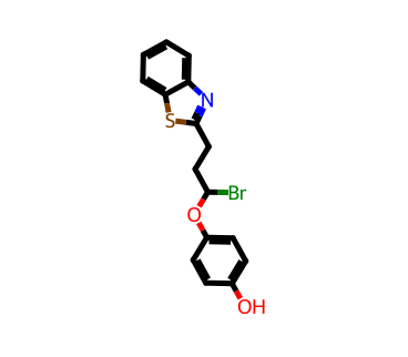 Oc1ccc(OC(Br)CCc2nc3ccccc3s2)cc1